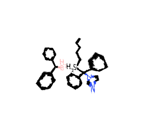 BC(c1ccccc1)c1ccccc1.C=CCCC[SiH2]C(c1ccccc1)(c1ccccc1)n1ccnc1